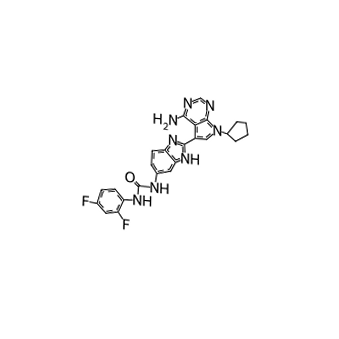 Nc1ncnc2c1c(-c1nc3ccc(NC(=O)Nc4ccc(F)cc4F)cc3[nH]1)cn2C1CCCC1